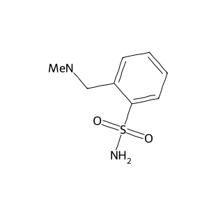 [CH2+][N-]Cc1ccccc1S(N)(=O)=O